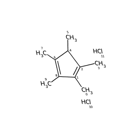 CC1=C(C)C(C)C(C)=C1C.Cl.Cl